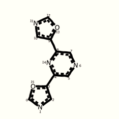 c1ncc(-c2cncc(-c3cnco3)n2)o1